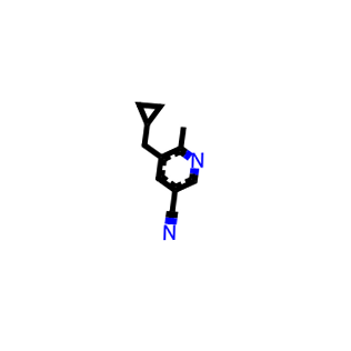 Cc1ncc(C#N)cc1CC1CC1